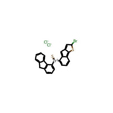 [Cl-].[Cl-].[S]=[Zr+2]([c]1cccc2c1-c1ccccc1C2)[c]1cccc2c1=CC1=CC(Br)SC=21